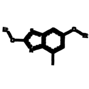 CCOc1cc(C)c2nc(OCC)sc2c1